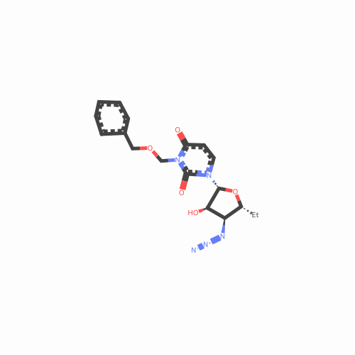 CC[C@H]1O[C@@H](n2ccc(=O)n(COCc3ccccc3)c2=O)[C@H](O)[C@@H]1N=[N+]=[N-]